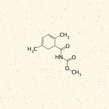 COC(=O)NC(=O)C1CC(C)=CC=C1C